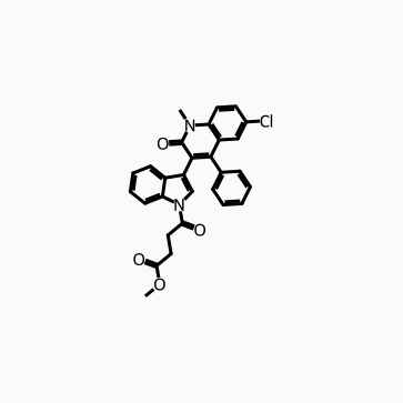 COC(=O)CCC(=O)n1cc(-c2c(-c3ccccc3)c3cc(Cl)ccc3n(C)c2=O)c2ccccc21